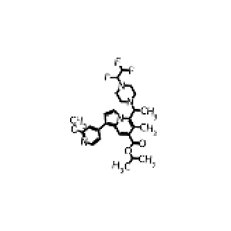 COc1cc(-c2ccn3c(C(C)N4CCN(C(F)C(F)F)CC4)c(C)c(C(=O)OC(C)C)cc23)ccn1